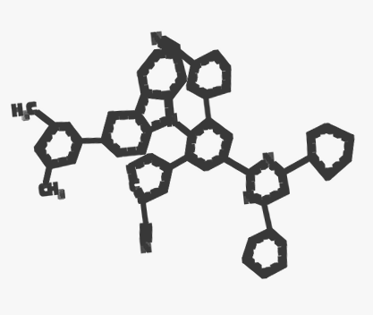 Cc1cc(C)cc(-c2ccc3c(c2)c2ccccc2n3-c2c(-c3cccc(C#N)c3)cc(-c3nc(-c4ccccc4)cc(-c4ccccc4)n3)cc2-c2cccc(C#N)c2)c1